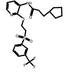 O=C(CCC1CCCC1)Nc1cccnc1SCCS(=O)(=O)c1cccc(C(F)(F)F)c1